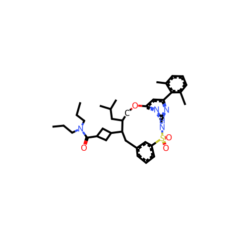 CCCN(CCC)C(=O)C1CC(C2Cc3cccc(c3)S(=O)(=O)Nc3nc(cc(-c4c(C)cccc4C)n3)OCC2CC(C)C)C1